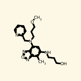 COCCCN(Cc1ccccn1)c1cc(NCCCO)c(C)c2nonc12